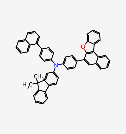 CC1(C)c2ccccc2-c2ccc(N(c3ccc(-c4cccc5ccccc45)cc3)c3ccc(-c4cc5ccccc5c5c4oc4ccccc45)cc3)cc21